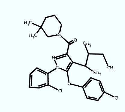 CCC(C)C(N)c1c(C(=O)N2CCCC(C)(C)C2)nn(-c2ccccc2Cl)c1Oc1ccc(Cl)cc1